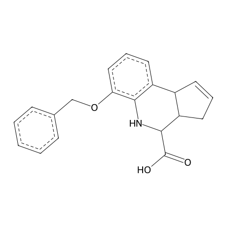 O=C(O)C1Nc2c(OCc3ccccc3)cccc2C2C=CCC12